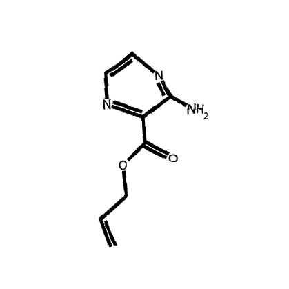 C=CCOC(=O)c1nccnc1N